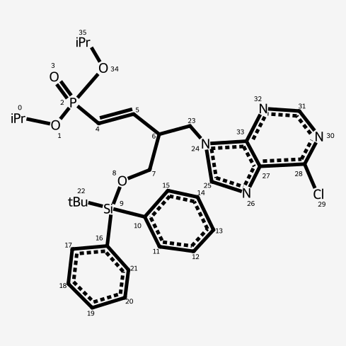 CC(C)OP(=O)(C=CC(CO[Si](c1ccccc1)(c1ccccc1)C(C)(C)C)Cn1cnc2c(Cl)ncnc21)OC(C)C